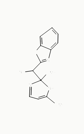 COC1=CC=NC(OC)(C(C#N)c2nc3ccccc3s2)N1